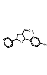 C=CC1CC(c2ccccc2)OC1c1ccc([N+](=O)[O-])cc1